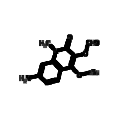 CCCCOc1c(OC=O)c(=O)n(C)c2cc(N)ccc12